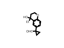 CCC1(O)CCOc2ccc(C3(C=O)CC3)cc21